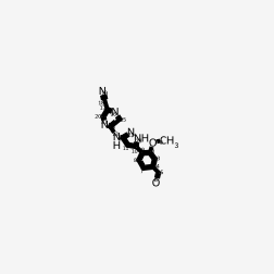 COc1cc(C=O)ccc1-c1cc(Nc2cnc(C#N)cn2)n[nH]1